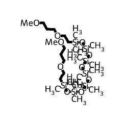 COCCCOCC[Si](C)(C)O[Si](C)(C)O[Si](C)(C)O[Si](C)(C)O[Si](C)(C)O[Si](C)(C)O[Si](C)(C)CCOCCCOC